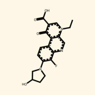 CCn1cc(C(=O)O)c(=O)c2c3ccc(N4CCC(O)C4)c(F)c3ncc21